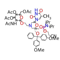 COc1ccc(C(OC[C@]2(COP(OCCC#N)N(C(C)C)C(C)C)CN(CCO[C@@H]3O[C@H](COC(C)=O)[C@H](OC(C)=O)[C@H](OC(C)=O)[C@H]3NC(C)=O)C[C@H](n3cc(C)c(=O)[nH]c3=O)O2)(c2ccccc2)c2ccc(OC)cc2)cc1